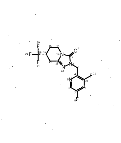 O=c1n(Cc2ncc(F)cc2F)nc2n1CC[C@@H](C(F)(F)F)C2